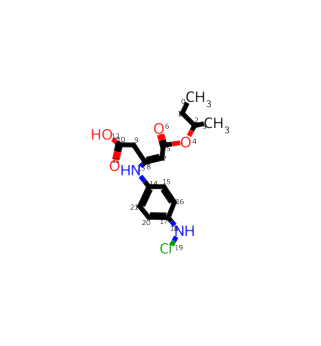 CCC(C)OC(=O)C=C(CC(=O)O)Nc1ccc(NCl)cc1